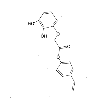 C=Cc1ccc(OC(=O)COc2cccc(O)c2O)cc1